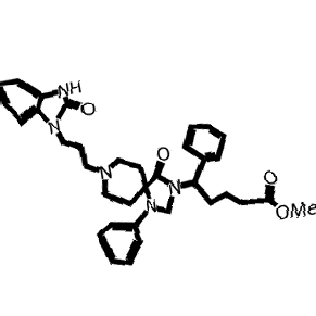 COC(=O)CCCC(c1ccccc1)N1CN(c2ccccc2)C2(CCN(CCCn3c(=O)[nH]c4ccccc43)CC2)C1=O